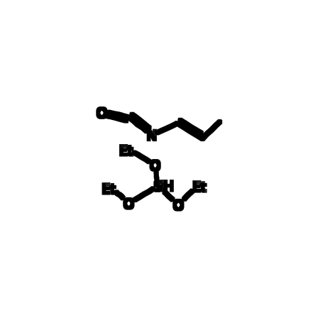 CC=CN=C=O.CCO[SiH](OCC)OCC